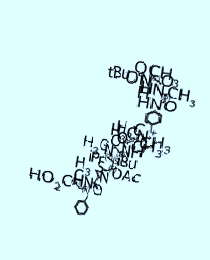 CC[C@H](C)[C@H](NC(=O)C(C)(C)[N+](C)(C)Cc1ccc(NC(=O)[C@H](C)NC(=O)[C@H](C)NC(=O)OC(C)(C)C)cc1)C(=O)N(C)[C@H](C[C@@H](OC(C)=O)c1nc(C(=O)N[C@@H](Cc2ccccc2)C[C@H](C)C(=O)O)cs1)C(C)C